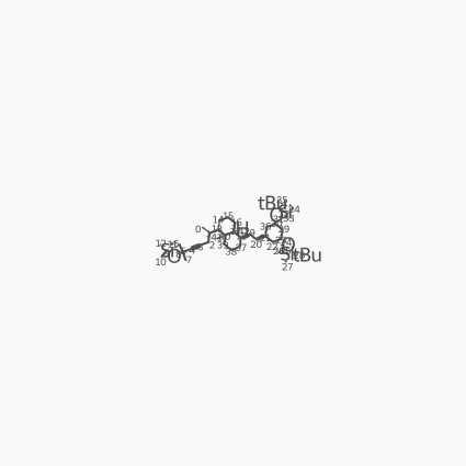 C[C@H](CC#CC(C)(C)O[Si](C)(C)C)[C@H]1CCC[C@H]2C(=CC=C3C[C@@H](O[Si](C)(C)C(C)(C)C)C[C@H](O[Si](C)(C)C(C)(C)C)C3)CCC[C@]12C